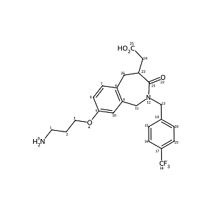 NCCCOc1ccc2c(c1)CN(Cc1ccc(C(F)(F)F)cc1)C(=O)C(CC(=O)O)C2